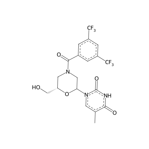 Cc1cn(C2CN(C(=O)c3cc(C(F)(F)F)cc(C(F)(F)F)c3)C[C@@H](CO)O2)c(=O)[nH]c1=O